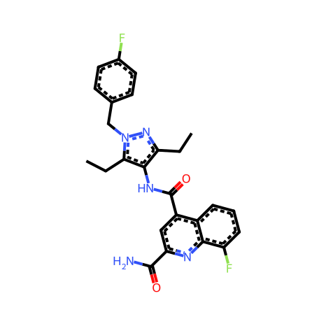 CCc1nn(Cc2ccc(F)cc2)c(CC)c1NC(=O)c1cc(C(N)=O)nc2c(F)cccc12